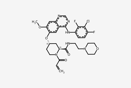 C=CC(=O)N1CC[C@H](Oc2cc3c(Nc4ccc(F)c(Cl)c4F)ncnc3cc2OC)C[C@H]1C(=O)NCCN1CCOCC1